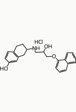 Cl.Oc1ccc2c(c1)CC(NCC(O)COc1cccc3ccccc13)CC2